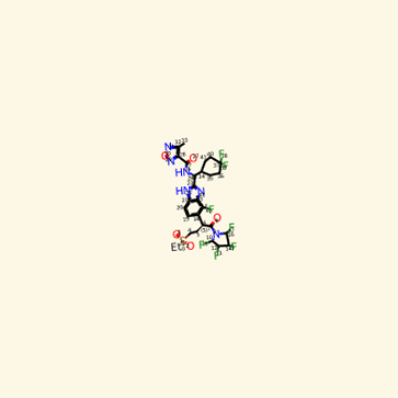 CCS(=O)(=O)CC[C@H](C(=O)N1C(F)C(F)C(F)C1F)c1ccc2[nH]c([C@@H](NC(=O)c3nonc3C)C3CCC(F)(F)CC3)nc2c1F